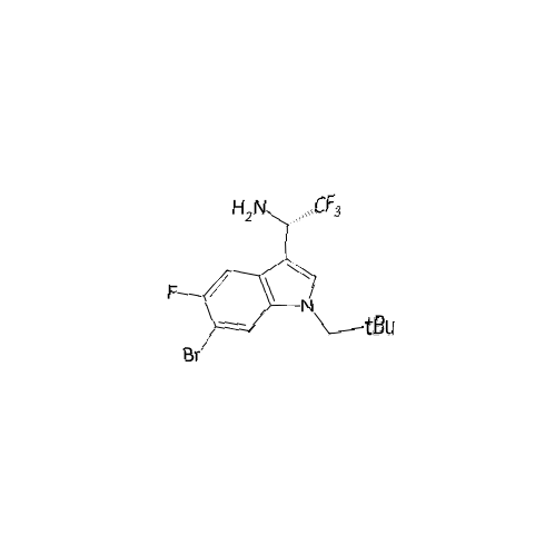 CC(C)(C)Cn1cc([C@H](N)C(F)(F)F)c2cc(F)c(Br)cc21